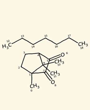 CC12CCC(C(=O)C1=O)C2(C)C.CCCCCCC